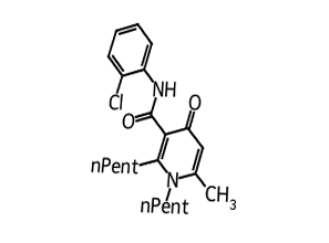 CCCCCc1c(C(=O)Nc2ccccc2Cl)c(=O)cc(C)n1CCCCC